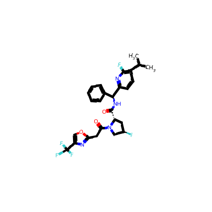 CC(C)c1ccc([C@@H](NC(=O)[C@@H]2C[C@@H](F)CN2C(=O)Cc2nc(C(F)(F)F)co2)c2ccccc2)nc1F